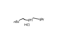 CCCCCPCC(C)C.Cl